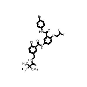 COC(C)(C)C(=O)NCc1ccc(Cl)c(C(=O)Nc2ccc(OCC(F)F)c(C(=O)Nc3ccc(Br)cc3)c2)c1